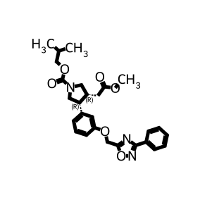 COC(=O)C[C@H]1CN(C(=O)OCC(C)C)C[C@H]1c1cccc(OCc2nc(-c3ccccc3)no2)c1